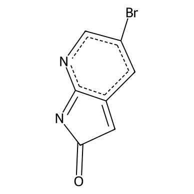 O=C1C=c2cc(Br)cnc2=N1